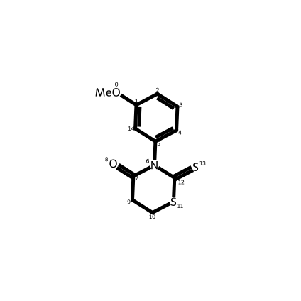 COc1cccc(N2C(=O)CCSC2=S)c1